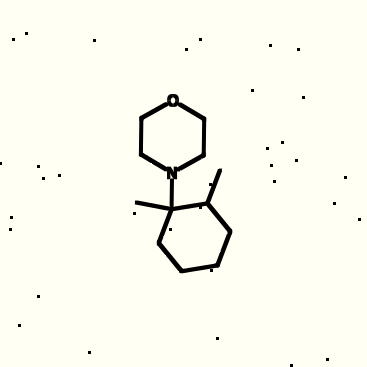 CC1CCCCC1(C)N1CCOCC1